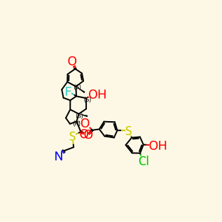 C[C@]12C=CC(=O)C=C1CCC1C3CC[C@](OC(=O)c4ccc(Sc5ccc(Cl)c(O)c5)cc4)(C(=O)SCC#N)[C@@]3(C)C[C@H](O)C12F